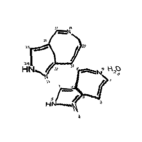 O.c1cc2n[nH]cc2cn1.c1cc2n[nH]cc2cn1